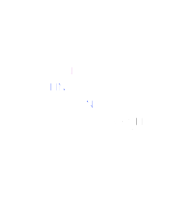 O=C(O)c1cccc(NI)n1